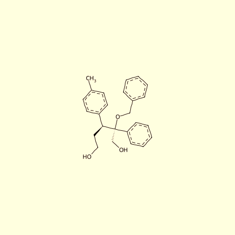 Cc1ccc([C@H](CCO)[C@@](CO)(OCc2ccccc2)c2ccccc2)cc1